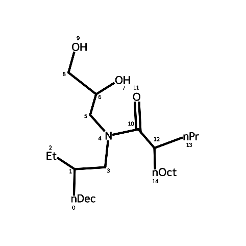 CCCCCCCCCCC(CC)CN(CC(O)CO)C(=O)C(CCC)CCCCCCCC